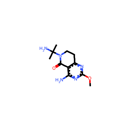 COc1nc(N)c2c(n1)CCN(C(C)(C)N)C2=O